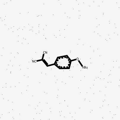 CCCCOc1ccc(C=C(C#N)C#N)cc1